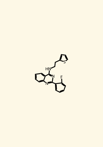 Fc1ccccc1-c1nc(NCCc2cccs2)c2ccccc2n1